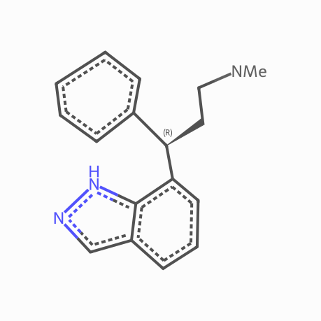 CNCC[C@H](c1ccccc1)c1cccc2cn[nH]c12